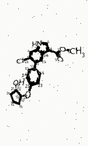 COC(=O)c1c[nH]c2cc(Cl)c(-c3ccc(O[C@H]4CCC[C@@H]4O)cc3)cc12